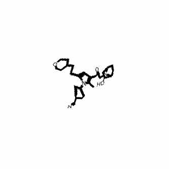 Cc1c(C(=O)CN2C3CCC2[C@H](O)C3)cc(CCC2CCOCC2)n1-c1ccc(C#N)cc1